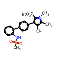 CCOC(=O)c1c(-c2ccc(-c3ccccc3NS(C)(=O)=O)cc2)c(C#N)c(C)n1C